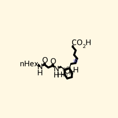 CCCCCCNC(=O)CC(=O)NC[C@H]1[C@@H](C/C=C\CCCC(=O)O)[C@H]2CC[C@H]1O2